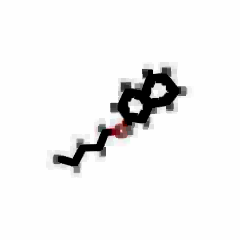 CCCCCOc1[c]c2ccccc2cc1